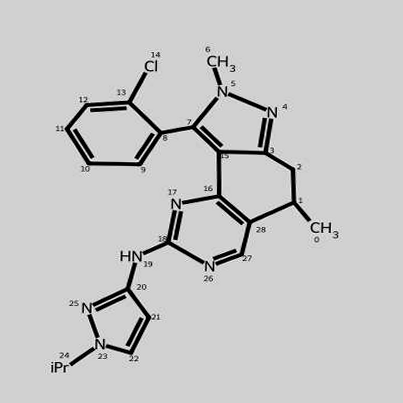 CC1Cc2nn(C)c(-c3ccccc3Cl)c2-c2nc(Nc3ccn(C(C)C)n3)ncc21